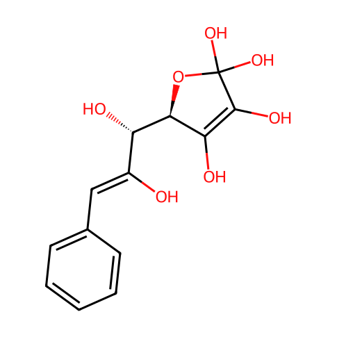 OC(=Cc1ccccc1)[C@H](O)[C@H]1OC(O)(O)C(O)=C1O